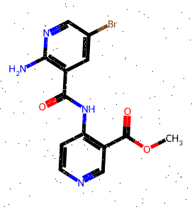 COC(=O)c1cnccc1NC(=O)c1cc(Br)cnc1N